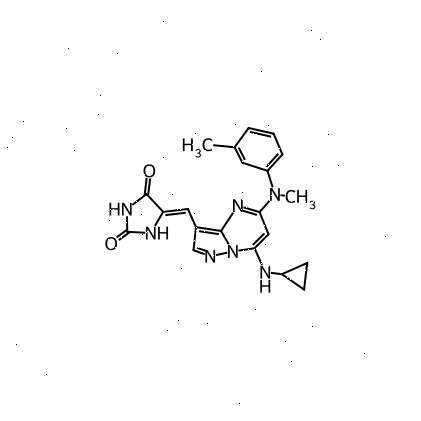 Cc1cccc(N(C)c2cc(NC3CC3)n3ncc(/C=C4\NC(=O)NC4=O)c3n2)c1